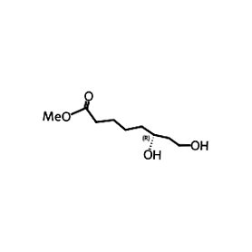 COC(=O)CCCC[C@@H](O)CCO